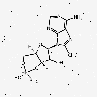 B[PH]1(O)OC[C@H]2O[C@@H](n3c(Cl)nc4c(N)ncnc43)C(O)[C@@H]2O1